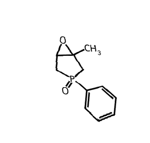 CC12CP(=O)(c3ccccc3)CC1O2